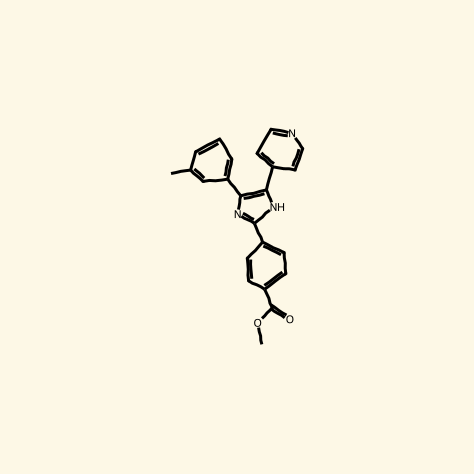 COC(=O)c1ccc(-c2nc(-c3cccc(C)c3)c(-c3ccncc3)[nH]2)cc1